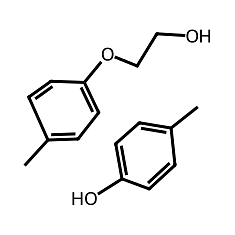 Cc1ccc(O)cc1.Cc1ccc(OCCO)cc1